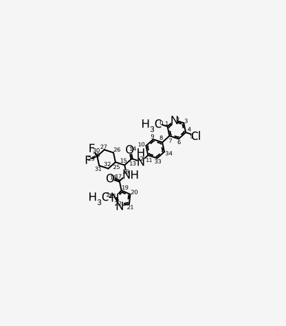 Cc1ncc(Cl)cc1-c1ccc(NC(=O)C(NC(=O)c2ccnn2C)C2CCC(F)(F)CC2)cc1